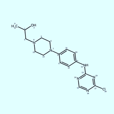 CC(O)CN1CCN(c2ccc(Nc3ncnc(Cl)n3)cc2)CC1